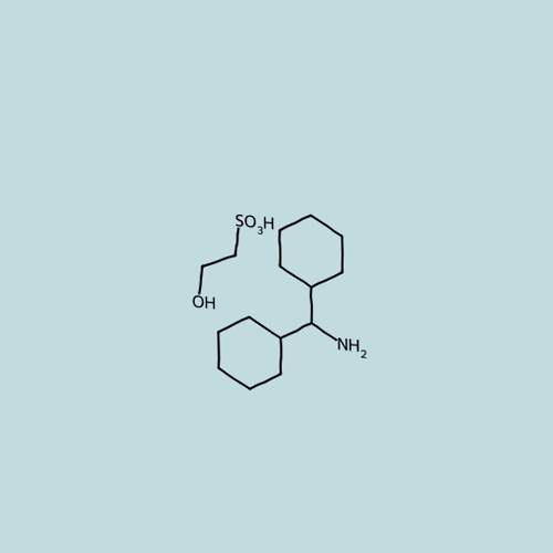 NC(C1CCCCC1)C1CCCCC1.O=S(=O)(O)CCO